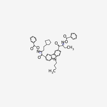 CCCCn1c2ccc(C(=O)/C(CC)=N/OC(=O)c3ccccc3)cc2c2cc(C(=O)/C(CCC3CCCC3)=N/OC(=O)c3ccccc3)ccc21